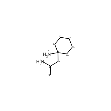 CC(N)CC1(N)CCCCC1